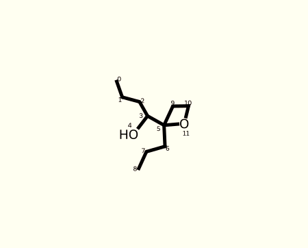 CCCC(O)C1(CCC)CCO1